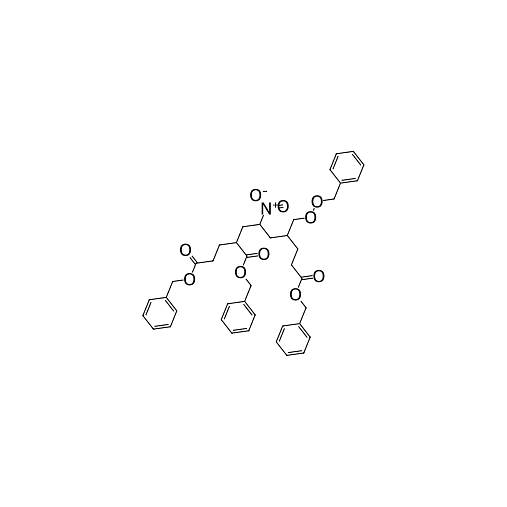 O=C(CCC(COOCc1ccccc1)CC(CC(CCC(=O)OCc1ccccc1)C(=O)OCc1ccccc1)[N+](=O)[O-])OCc1ccccc1